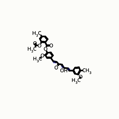 COc1cc(/C=C/C(O)=C/C(=O)/C=C/c2ccc(OC(=O)c3ccc(C)cc3OC(C)=O)c(OC)c2)ccc1C